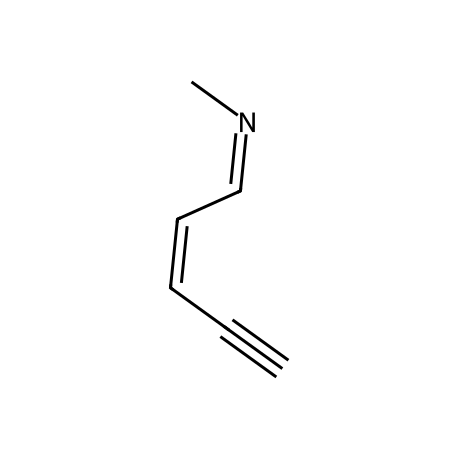 C#C/C=C\C=N/C